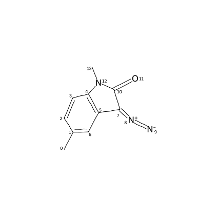 Cc1ccc2c(c1)C(=[N+]=[N-])C(=O)N2C